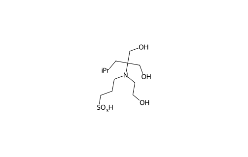 CC(C)CC(CO)(CO)N(CCO)CCCS(=O)(=O)O